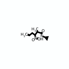 C=CCC(C(C)C(=O)NC1CC1)[N+](=O)[O-]